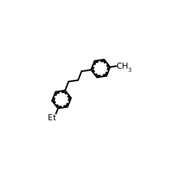 CCc1ccc(CCCc2ccc(C)cc2)cc1